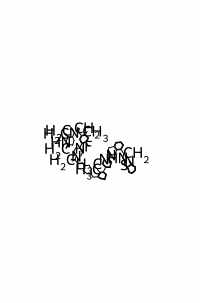 C=CN(C(=C)c1cc(N2CCN(C(=C)CCC3CCC(Cc4cccc(-c5ccc(N6CCc7cccc(C(=C)Nc8nc9ccccc9s8)c7C6)nc5C)c4C)CC3)CC2)c(F)cc1C)C1CCC(=C)NC1=C